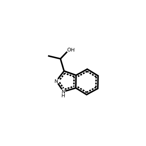 CC(O)c1n[nH]c2ccccc12